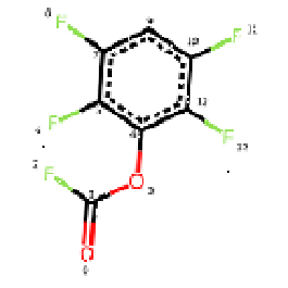 O=C(F)Oc1c(F)c(F)cc(F)c1F